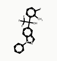 Cc1c(F)cccc1C(O)(c1ccc2c(cnn2-c2ccccc2)c1)C(F)(F)F